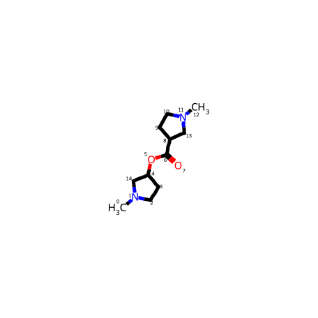 CN1CCC(OC(=O)C2CCN(C)C2)C1